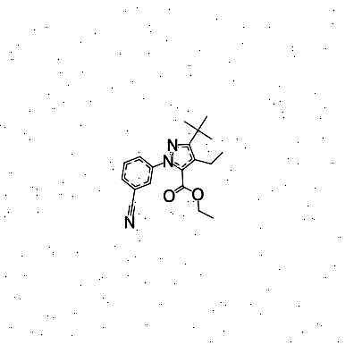 CCOC(=O)c1c(CC)c(C(C)(C)C)nn1-c1cccc(C#N)c1